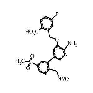 CNCc1ccc(S(C)(=O)=O)cc1-c1cnc(N)c(OCc2cc(F)ccc2C(=O)O)c1